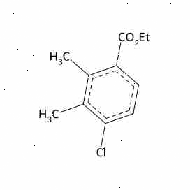 CCOC(=O)c1ccc(Cl)c(C)c1C